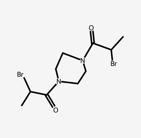 CC(Br)C(=O)N1CCN(C(=O)C(C)Br)CC1